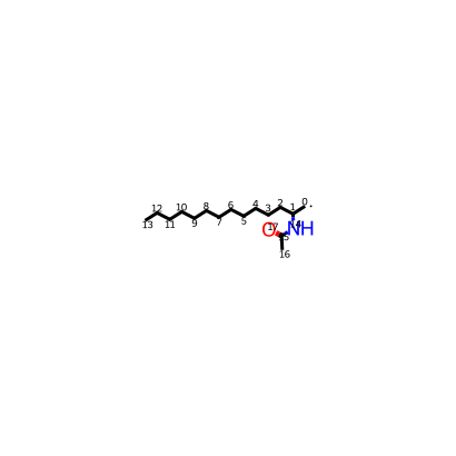 [CH2]C(CCCCCCCCCCCC)NC(C)=O